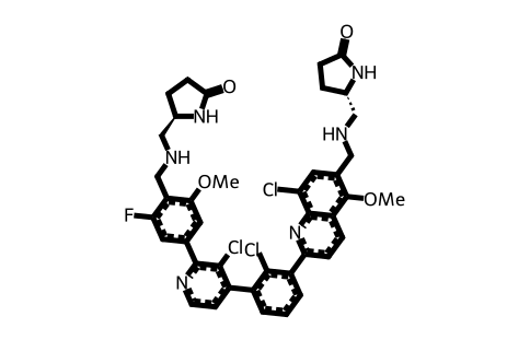 COc1cc(-c2nccc(-c3cccc(-c4ccc5c(OC)c(CNC[C@@H]6CCC(=O)N6)cc(Cl)c5n4)c3Cl)c2Cl)cc(F)c1CNC[C@H]1CCC(=O)N1